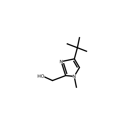 Cn1cc(C(C)(C)C)nc1CO